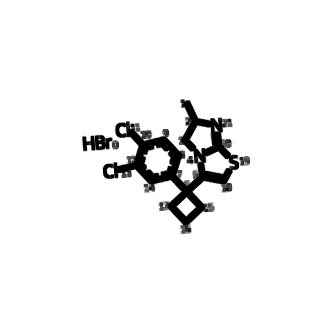 Br.CC1CN2C(C3(c4ccc(Cl)c(Cl)c4)CCC3)=CSC2=N1